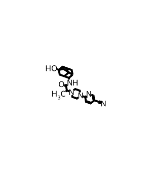 CC(C(=O)NC1C2CC3CC1CC(O)(C3)C2)N1CCN(c2ccc(C#N)cn2)CC1